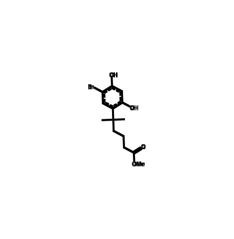 COC(=O)CCCC(C)(C)c1cc(Br)c(O)cc1O